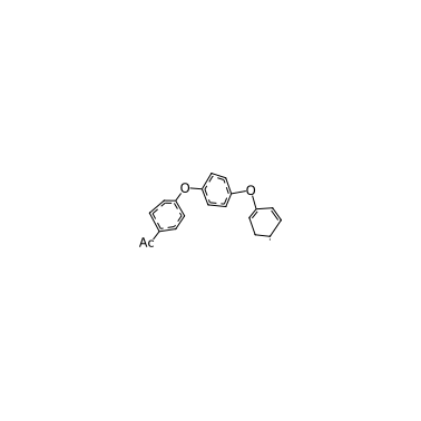 CC(=O)c1ccc(Oc2ccc(OC3=CC[CH]C=C3)cc2)cc1